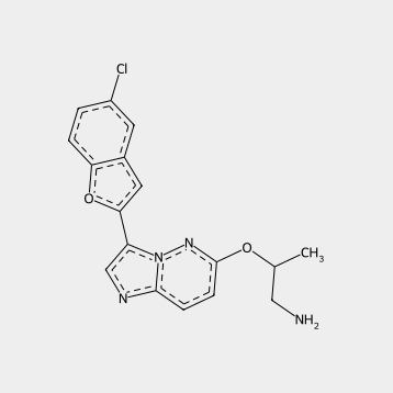 CC(CN)Oc1ccc2ncc(-c3cc4cc(Cl)ccc4o3)n2n1